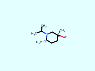 CC(C)N1C[C@@](C)(O)CC[C@@H]1C